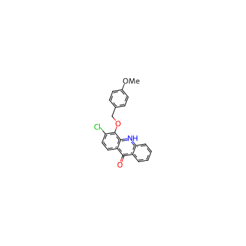 COc1ccc(COc2c(Cl)ccc3c(=O)c4ccccc4[nH]c23)cc1